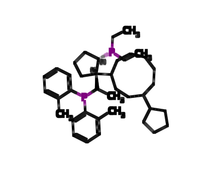 CCP(CC)[C@H]1CCC[C@]1(C1CCCCCC(C2CCCC2)CC1)C(C)P(c1ccccc1C)c1ccccc1C